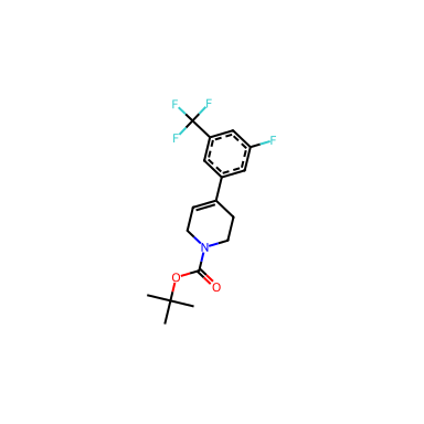 CC(C)(C)OC(=O)N1CC=C(c2cc(F)cc(C(F)(F)F)c2)CC1